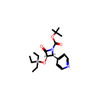 CC[Si](CC)(CC)O[C@H]1C(=O)N(C(=O)OC(C)(C)C)[C@H]1c1ccncc1